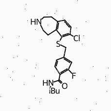 CCC(C)NC(=O)c1ccc(CSc2c(Cl)ccc3c2CCNCC3)cc1F